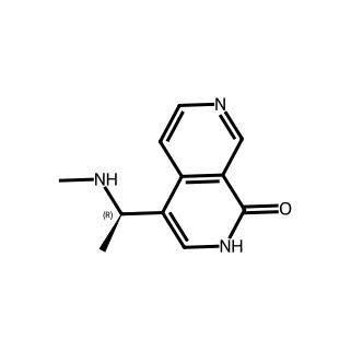 CN[C@H](C)c1c[nH]c(=O)c2cnccc12